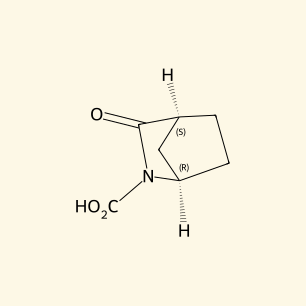 O=C(O)N1C(=O)[C@H]2CC[C@@H]1C2